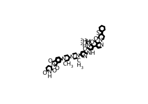 [2H]C([2H])([2H])n1cc(-c2ccnc(N3CCc4c(sc5c4CCCC5)C3=O)c2CO)cc(Nc2ccc(N3CCN([C@@H]4CCN(c5ccc6c(c5)C(=O)N(C5CCC(=O)NC5=O)C6=O)[C@H](C)C4)C[C@@H]3C)cn2)c1=O